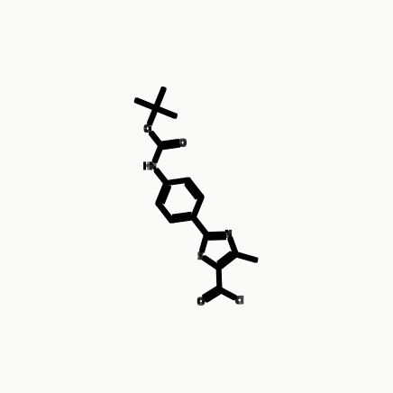 Cc1nc(-c2ccc(NC(=O)OC(C)(C)C)cc2)sc1C(=O)Cl